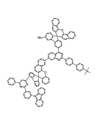 CC(C)(C)c1ccc2c(c1)-c1cc(-c3nc(-c4ccc(-c5ccc([Si](C)(C)C)cc5)cc4)nc4cc(-c5ccc6ccc7c(c6c5)Oc5ccccc5C75c6ccccc6-c6c(-c7cc(-c8ccccc8)nc(-c8cccc(-n9c%10ccccc%10c%10ccccc%109)c8)n7)cccc65)ccc34)ccc1C21c2ccc3ccccc3c2Oc2c1ccc1ccccc21